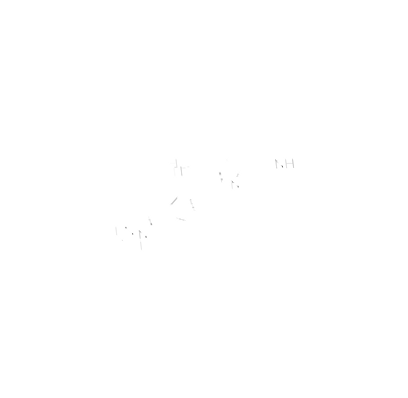 Cl.Cl.NNC(=O)Cc1ccc(CCc2csc(C3CCNCC3)n2)cc1